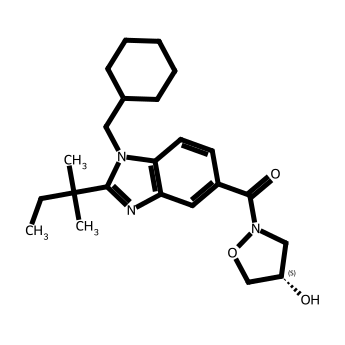 CCC(C)(C)c1nc2cc(C(=O)N3C[C@H](O)CO3)ccc2n1CC1CCCCC1